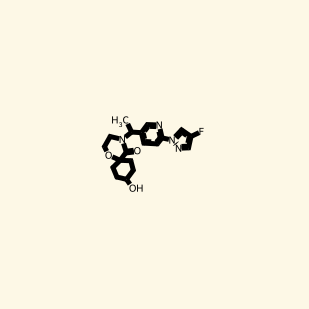 CC(c1ccc(-n2cc(F)cn2)nc1)N1CCOC2(CCC(O)CC2)C1=O